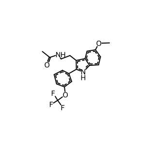 COc1ccc2[nH]c(-c3cccc(OC(F)(F)F)c3)c(CCNC(C)=O)c2c1